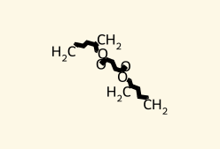 C=CCCC(=C)COC(=O)CCC(=O)OCC(=C)CCC=C